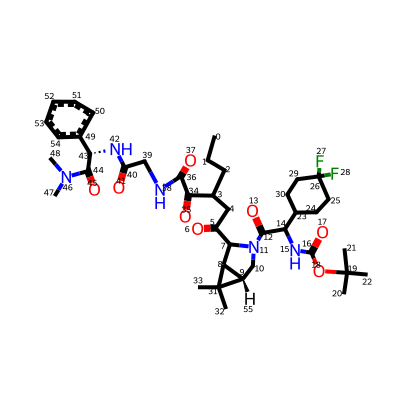 CCCC(CC(=O)C1C2[C@H](CN1C(=O)C(NC(=O)OC(C)(C)C)C1CCC(F)(F)CC1)C2(C)C)C(=O)C(=O)NCC(=O)N[C@H](C(=O)N(C)C)c1ccccc1